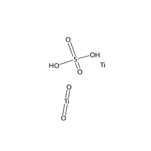 O=S(=O)(O)O.[O]=[Ti]=[O].[Ti]